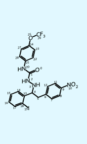 O=C(NNC(Cc1ccc([N+](=O)[O-])cc1)c1ccccc1I)Nc1ccc(OC(F)(F)F)cc1